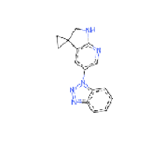 c1ccc2c(c1)nnn2-c1cnc2c(c1)C1(CC1)CN2